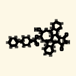 O=C1NC(=O)c2c1c1c3ccccc3n3c1c1c2c2ccccc2n1CC(OC(=O)N1CCN(c2ccccc2)CC1)C(O)C3